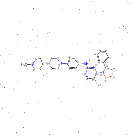 CN1CCC(N2CCN(c3ccc(Nc4ncc(C(F)(F)F)c(N5OCCC5c5ccccc5)n4)cc3)CC2)CC1